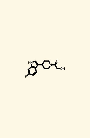 O=C(CO)N1CCC(c2c[nH]c3cc(F)ccc23)CC1